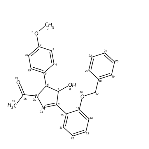 COc1ccc(C2C(O)C(c3ccccc3OCc3ccccc3)=NN2C(C)=O)cc1